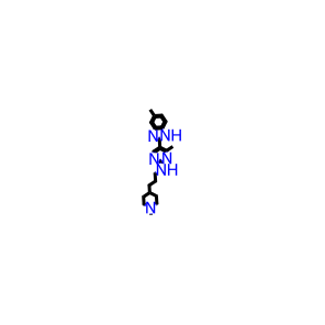 Cc1ccc2[nH]c(-c3cnc(NCCCC4CCN(C)CC4)nc3C)nc2c1